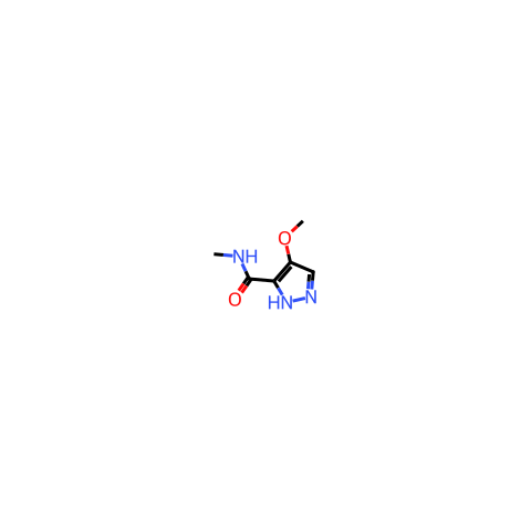 CNC(=O)c1[nH]ncc1OC